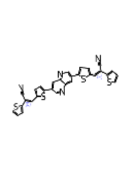 N#C/C(=C\c1ccc(-c2cnc3cc(-c4ccc(/C=C(\C#N)c5cccs5)s4)cnc3c2)s1)c1cccs1